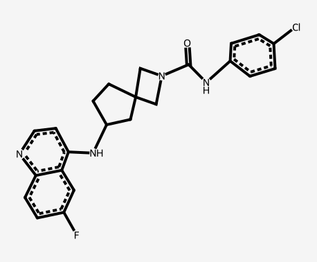 O=C(Nc1ccc(Cl)cc1)N1CC2(CCC(Nc3ccnc4ccc(F)cc34)C2)C1